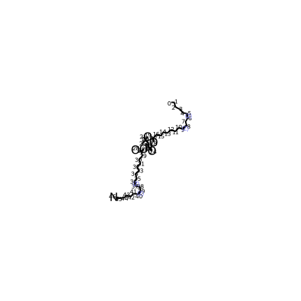 CCCCC/C=C\C/C=C\CCCCCCCC(=O)O[C@@](C)(CN=O)COC(=O)CCCCCCC/C=C\C/C=C\CCCCC#N